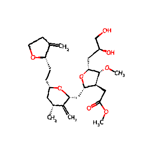 C=C1CCO[C@H]1CC[C@H]1C[C@@H](C)C(=C)[C@@H](C[C@@H]2O[C@H](C[C@H](O)CO)[C@H](OC)[C@H]2CC(=O)OC)O1